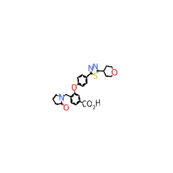 O=C(O)c1ccc(CN2CCCC2=O)c(Oc2ccc(-c3nnc(C4CCOCC4)s3)cc2)c1